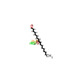 CCCCCCCCC=CCCCCCCCC=O.Cl.Cl.O=[PH3]